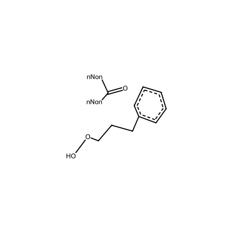 CCCCCCCCCC(=O)CCCCCCCCC.OOCCCc1ccccc1